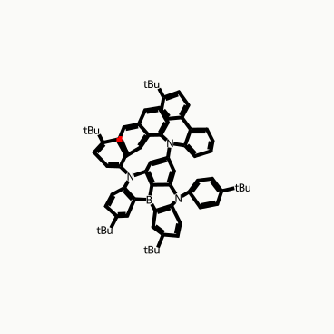 CC(C)(C)c1ccc(-c2ccccc2N(c2cc3c4c(c2)N(c2ccc(C(C)(C)C)cc2)c2ccc(C(C)(C)C)cc2B4c2cc(C(C)(C)C)ccc2N3c2ccc(C(C)(C)C)cc2)c2cccc3ccccc23)cc1